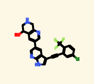 OC1CNCc2ncc(-c3cnc4[nH]cc(C#Cc5cc(Cl)ccc5C(F)(F)F)c4c3)cc21